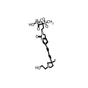 CC(CCN1Cc2cc(C#CC#CC3(F)CCN(CCO)C3)cn2C1=O)(C(=O)NO)S(C)(=O)=O